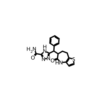 NC(=O)c1nnc(C(c2ccccc2)C2CCc3sccc3NC2=O)[nH]1